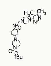 Cc1ncnc(N2CCN(Cc3nc4ccc(N5CCCN(C(=O)OC(C)(C)C)CC5)cc4o3)CC2)c1C